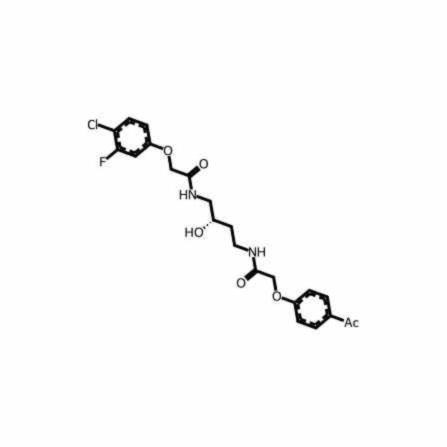 CC(=O)c1ccc(OCC(=O)NCC[C@H](O)CNC(=O)COc2ccc(Cl)c(F)c2)cc1